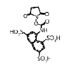 O=C(Nc1cc(S(=O)(=O)O)cc2cc(S(=O)(=O)O)cc(S(=O)(=O)O)c12)ON1C(=O)CCC1=O